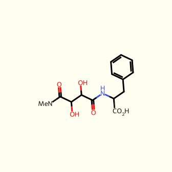 CNC(=O)C(O)C(O)C(=O)NC(Cc1ccccc1)C(=O)O